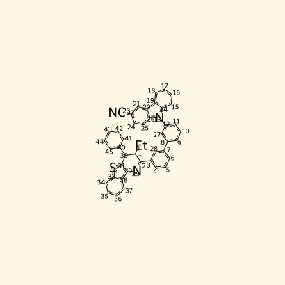 CCC1C(c2cccc(-c3cccc(-n4c5ccccc5c5cc(C#N)ccc54)c3)c2)=Nc2c(sc3ccccc23)C1c1ccccc1